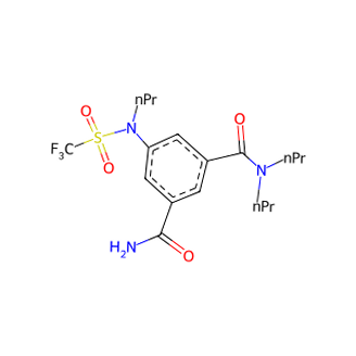 CCCN(CCC)C(=O)c1cc(C(N)=O)cc(N(CCC)S(=O)(=O)C(F)(F)F)c1